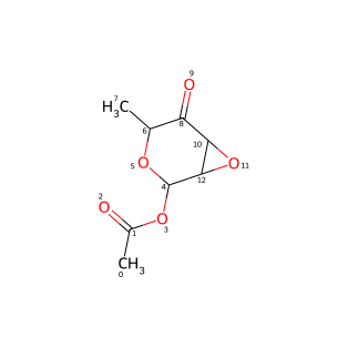 CC(=O)OC1OC(C)C(=O)C2OC12